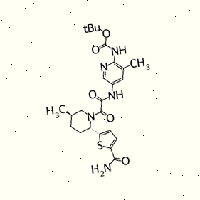 Cc1cc(NC(=O)C(=O)N2C[C@H](C)CC[C@H]2c2ccc(C(N)=O)s2)cnc1NC(=O)OC(C)(C)C